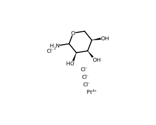 NC1OC[C@@H](O)[C@@H](O)[C@H]1O.[Cl-].[Cl-].[Cl-].[Cl-].[Pt+4]